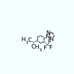 CC(C)c1ccc(-n2nccn2)c(C(F)(F)F)c1